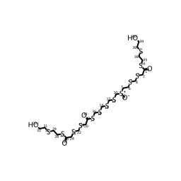 O=C(CSCSCC[S+]([O-])CSCSCSCSC(=O)CSCSCC(=O)SCCSCCO)SCCSCCO